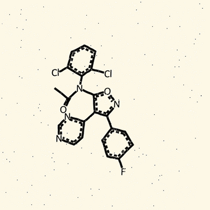 CC(=O)N(c1onc(-c2ccc(F)cc2)c1-c1ccncn1)c1c(Cl)cccc1Cl